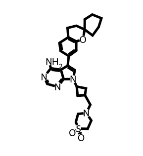 Nc1ncnc2c1c(-c1ccc3c(c1)OC1(CCCCC1)CC3)cn2C1CC(CN2CCS(=O)(=O)CC2)C1